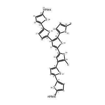 CCCCCCc1ccc(-c2ccc(-c3cc(-c4cc(-c5ccc(-c6ccc(CCCCCC)s6)s5)c(-c5ccc(C)s5)s4)sc3C)s2)s1